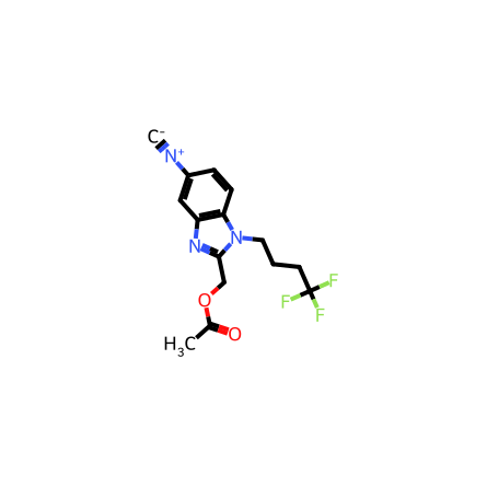 [C-]#[N+]c1ccc2c(c1)nc(COC(C)=O)n2CCCC(F)(F)F